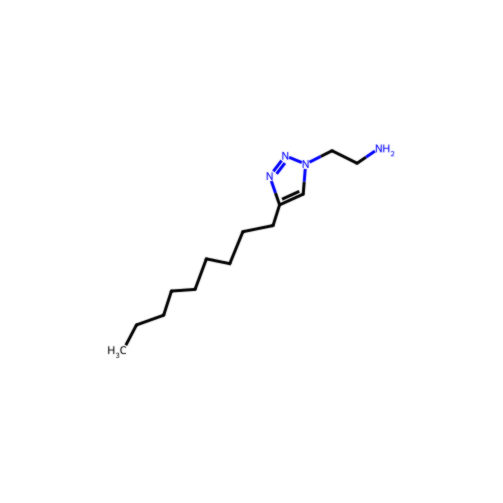 CCCCCCCCCc1cn(CCN)nn1